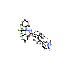 C[C@]12C=CC(=O)N[C@@H]1CC[C@@H]1[C@@H]2CC[C@]2(C)[C@@H](C(=O)NC(c3ccccc3)(c3ccccc3)C(F)(F)F)CC[C@@H]12